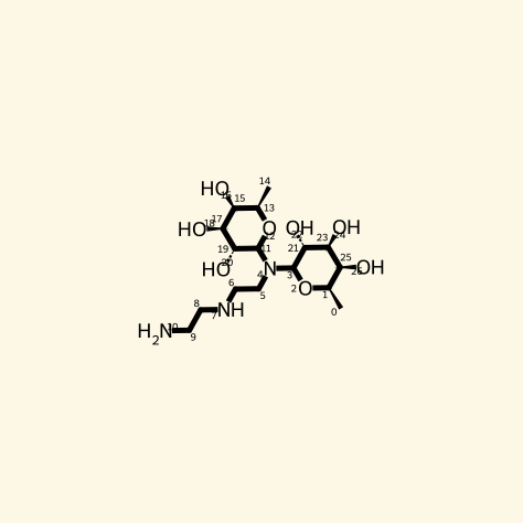 C[C@H]1OC(N(CCNCCN)C2O[C@H](C)[C@H](O)[C@H](O)[C@H]2O)[C@H](O)[C@@H](O)[C@H]1O